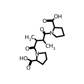 CC(C(=O)N1CCCC1C(=O)O)C(C)C(=O)N1CCCC1C(=O)O